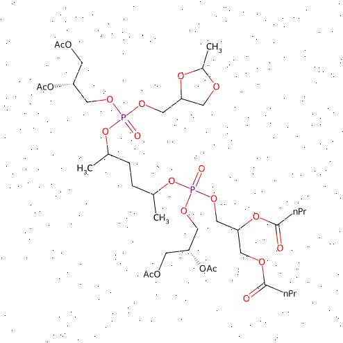 CCCC(=O)OCC(COP(=O)(OC[C@@H](COC(C)=O)OC(C)=O)OC(C)CCC(C)OP(=O)(OCC1COC(C)O1)OC[C@@H](COC(C)=O)OC(C)=O)OC(=O)CCC